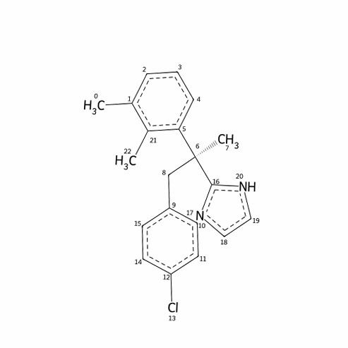 Cc1cccc([C@](C)(Cc2ccc(Cl)cc2)c2ncc[nH]2)c1C